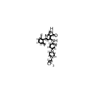 O=C1NCc2nc(-c3c(F)cccc3F)cc(Nc3ccc(N4CCN(CCC(F)(F)F)CC4)cn3)c21